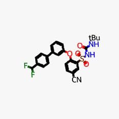 CC(C)(C)NC(=O)NS(=O)(=O)c1cc(C#N)ccc1Oc1cccc(-c2ccc(C(F)F)cc2)c1